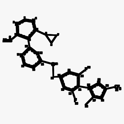 COc1ncnc(C2CC2)c1-c1nccc(OCc2cc(F)c(-n3nc(C(F)(F)F)cc3C)c(F)c2)n1